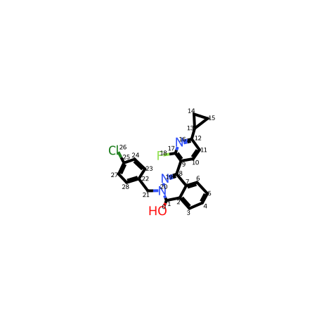 OC1c2ccccc2C(c2ccc(C3CC3)nc2F)=NN1Cc1ccc(Cl)cc1